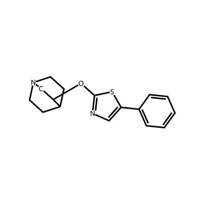 c1ccc(-c2cnc(OC3CN4CCC3CC4)s2)cc1